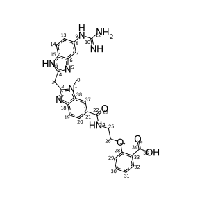 Cn1c(Cc2nc3cc(NC(=N)N)ccc3[nH]2)nc2ccc(C(=O)NCCOc3ccccc3C(=O)O)cc21